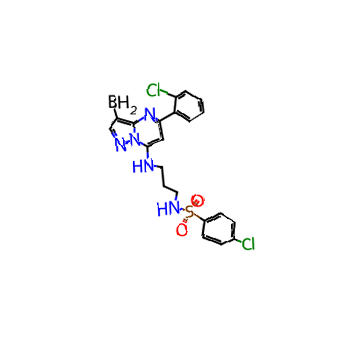 Bc1cnn2c(NCCCNS(=O)(=O)c3ccc(Cl)cc3)cc(-c3ccccc3Cl)nc12